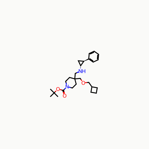 CC(C)(C)OC(=O)N1CCC(CN[C@@H]2C[C@H]2c2ccccc2)(COCC2CCC2)CC1